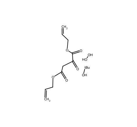 C=CCOC(=O)CC(=O)C(=O)OCC=C.CC(C)(C)O.OO